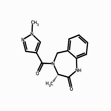 C[C@H]1C(=O)Nc2ccccc2CN1C(=O)c1cnn(C)c1